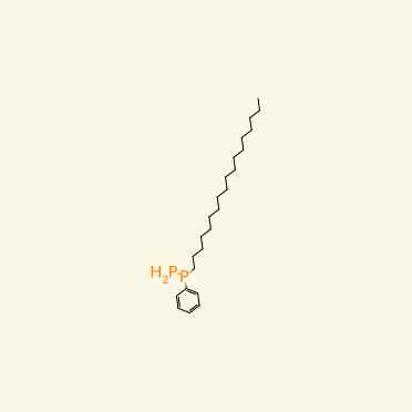 CCCCCCCCCCCCCCCCCCP(P)c1ccccc1